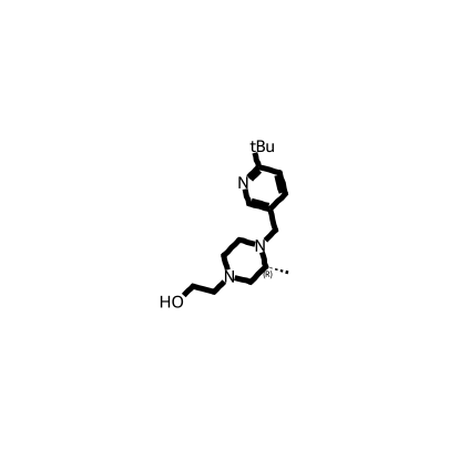 C[C@@H]1CN(CCO)CCN1Cc1ccc(C(C)(C)C)nc1